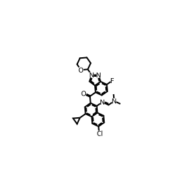 CN(C)C=Nc1c(C(=O)c2ccc(F)c3nn(C4CCCCO4)cc23)cc(C2CC2)c2cc(Cl)ccc12